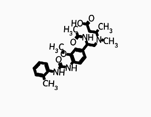 COc1cc(C(CN(C)C(C)CC(=O)O)NC(C)=O)ccc1NC(=O)Nc1ccccc1C